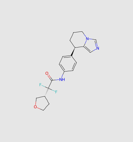 O=C(Nc1ccc([C@H]2CCCn3cncc32)cc1)C(F)(F)[C@@H]1CCOC1